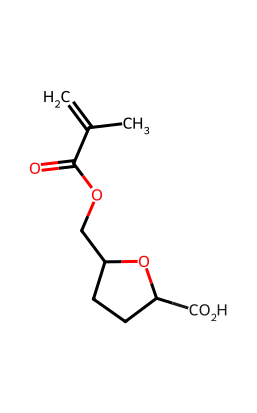 C=C(C)C(=O)OCC1CCC(C(=O)O)O1